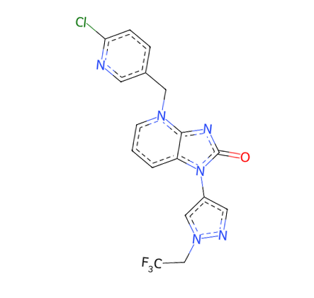 O=c1nc2n(Cc3ccc(Cl)nc3)cccc-2n1-c1cnn(CC(F)(F)F)c1